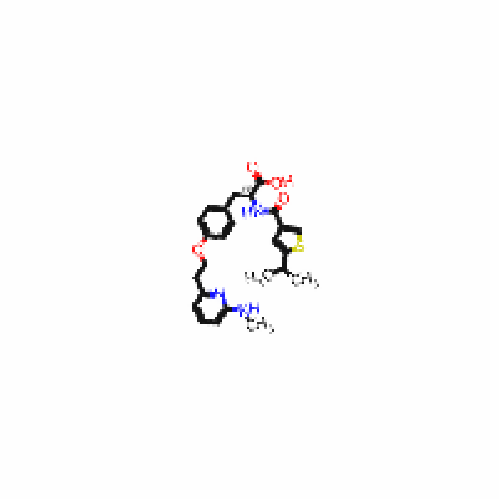 CNc1cccc(CCOc2ccc(C[C@H](NC(=O)c3csc(C(C)C)c3)C(=O)O)cc2)n1